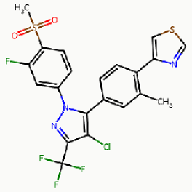 Cc1cc(-c2c(Cl)c(C(F)(F)F)nn2-c2ccc(S(C)(=O)=O)c(F)c2)ccc1-c1cscn1